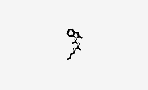 CCCCOC(C)OC(C)n1c(C)cc2ccccc21